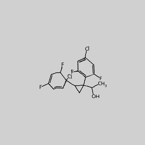 CC(O)C1(c2c(F)cc(Cl)cc2F)CC1C1(Cl)C=CC(F)=CC1F